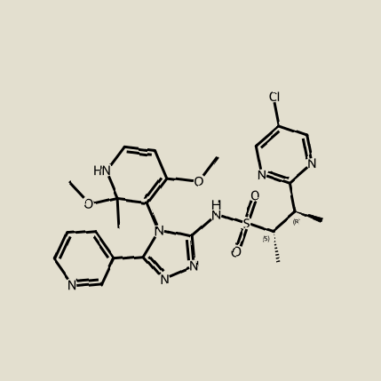 COC1=C(n2c(NS(=O)(=O)[C@@H](C)[C@H](C)c3ncc(Cl)cn3)nnc2-c2cccnc2)C(C)(OC)NC=C1